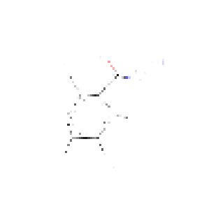 Cc1cc(C)c(C(=O)NN)c(C)c1C